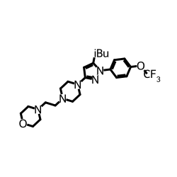 CCC(C)c1cc(N2CCN(CCN3CCOCC3)CC2)nn1-c1ccc(OC(F)(F)F)cc1